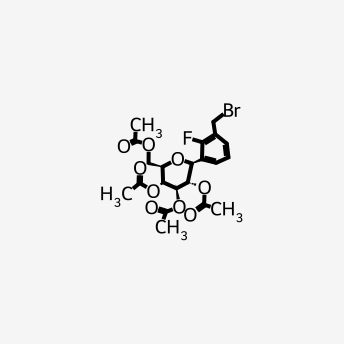 CC(=O)OC[C@H]1O[C@@H](c2cccc(CBr)c2F)[C@H](OC(C)=O)[C@@H](OC(C)=O)[C@@H]1OC(C)=O